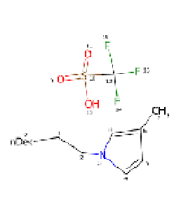 CCCCCCCCCCCCn1ccc(C)c1.O=S(=O)(O)C(F)(F)F